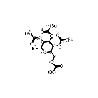 CC(C)(C)C(=O)OC[C@H]1O[C@H](Br)[C@@H](OC(=O)C(C)(C)C)[C@@H](OC(=O)C(C)(C)C)[C@@H]1OC(=O)C(C)(C)C